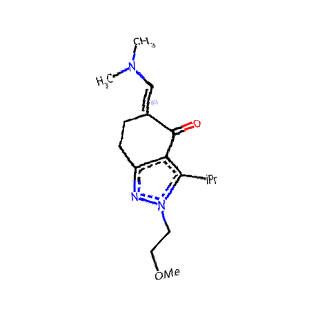 COCCn1nc2c(c1C(C)C)C(=O)/C(=C/N(C)C)CC2